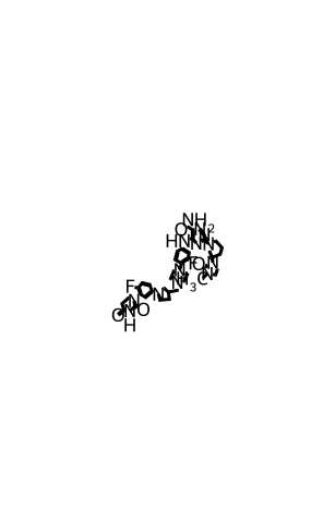 CN1CCN(C2CCCN(c3nnc(C(N)=O)c(Nc4ccc(N5CCN(CC6CCN(c7ccc(F)c(N8CCC(=O)NC8=O)c7)C6)CC5)c(F)c4)n3)C2)C1=O